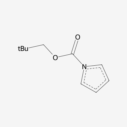 CC(C)(C)COC(=O)n1cccc1